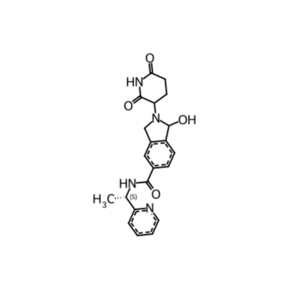 C[C@H](NC(=O)c1ccc2c(c1)CN(C1CCC(=O)NC1=O)C2O)c1ccccn1